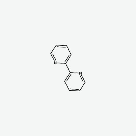 [c]1ccc(-c2ccccn2)nc1